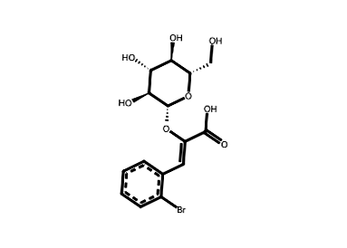 O=C(O)/C(=C/c1ccccc1Br)O[C@H]1O[C@@H](CO)[C@H](O)[C@@H](O)[C@@H]1O